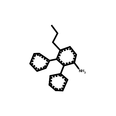 CCCc1ccc(N)c(-c2ccccc2)c1-c1ccccc1